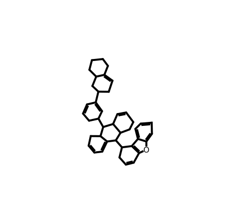 C1=CCC2C(=C1)C(C1CC=Cc3oc4ccccc4c31)C1CCC=CC1C2C1C=C(C2CC=C3CCCCC3C2)C=CC1